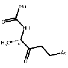 CC(=O)CCC(=O)[C@H](C)NC(=O)C(C)(C)C